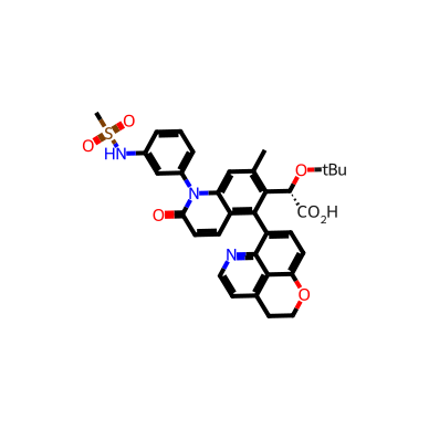 Cc1cc2c(ccc(=O)n2-c2cccc(NS(C)(=O)=O)c2)c(-c2ccc3c4c(ccnc24)CCO3)c1[C@H](OC(C)(C)C)C(=O)O